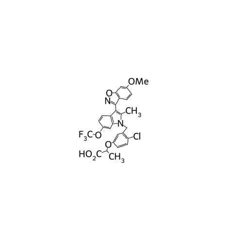 COc1ccc2c(-c3c(C)n(Cc4cc(OC(C)C(=O)O)ccc4Cl)c4cc(OC(F)(F)F)ccc34)noc2c1